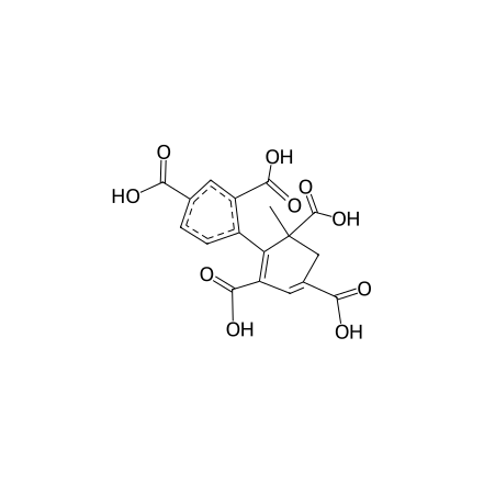 CC1(C(=O)O)CC(C(=O)O)=CC(C(=O)O)=C1c1ccc(C(=O)O)cc1C(=O)O